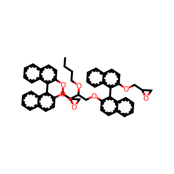 CCCCOC(COc1ccc2ccccc2c1-c1c(OCC2CO2)ccc2ccccc12)COc1ccc2ccccc2c1-c1c(OCC2CO2)ccc2ccccc12